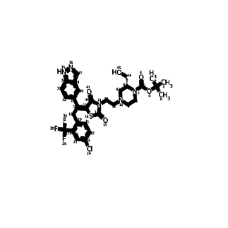 CC(C)(C)OC(=O)N1CCN(CCN2C(=O)SC(=C(Cc3ccc(Cl)cc3C(F)(F)F)c3ccc4[nH]ncc4c3)C2=O)C[C@@H]1CO